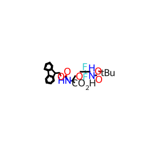 CC(C)(C)OC(=O)NCC(F)(F)COCC(NC(=O)OCC1c2ccccc2-c2ccccc21)C(=O)O